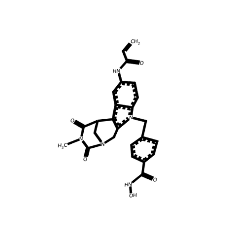 C=CC(=O)Nc1ccc2c(c1)c1c(n2Cc2ccc(C(=O)NO)cc2)CN2CC1C(=O)N(C)C2=O